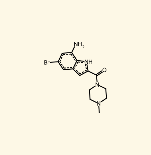 CN1CCN(C(=O)c2cc3cc(Br)cc(N)c3[nH]2)CC1